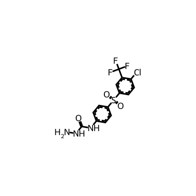 NNC(=O)Nc1ccc(S(=O)(=O)c2ccc(Cl)c(C(F)(F)F)c2)cc1